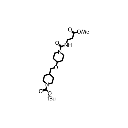 COC(=O)CCNC(=O)N1CCC(OCC2CCN(C(=O)OC(C)(C)C)CC2)CC1